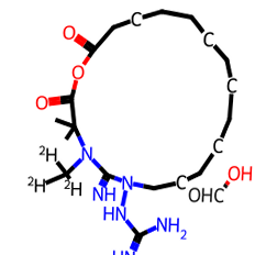 O=CO.[2H]C([2H])([2H])N1C(=N)N(NC(=N)N)CCCCCCCCCCCCC(=O)OC(=O)C1(C)C